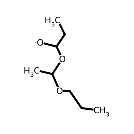 CCCOC(C)OC([O])CC